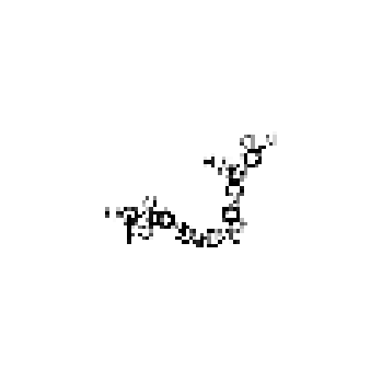 C[C@H]1CC2(CCN(c3ccc(C(=O)N4CCN(CC5CCN(c6ccc7c(c6)C(=O)N(C6CCC(=O)NC6=O)C7=O)CC5)CC4)c(F)c3)CC2)CN1c1ccc(C#N)c(Cl)c1